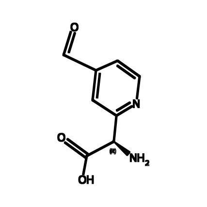 N[C@@H](C(=O)O)c1cc(C=O)ccn1